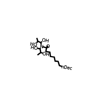 CCCCCCCCCCCCCCCCCC(=O)N(C(O)C(C)O)C(O)C(C)O